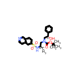 C[C@H](CN(C[C@@H](O)c1ccccc1)C(=O)OC(C)(C)C)NS(=O)(=O)c1ccc2cnccc2c1